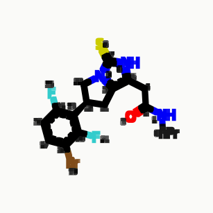 CCCNC(=O)Cc1[nH]c(=S)n2c1C[C@@H](c1c(F)ccc(Br)c1F)C2